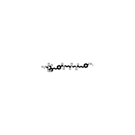 Cc1ccc(CCCC(=O)NCCNC(=O)CCCNC(=O)c2ccc(CCc3c[nH]c4nc(N)[nH]c(=O)c34)cc2)cc1